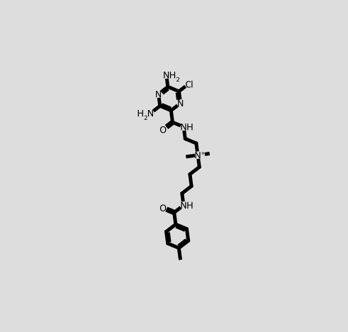 Cc1ccc(C(=O)NCCCC[N+](C)(C)CCNC(=O)c2nc(Cl)c(N)nc2N)cc1